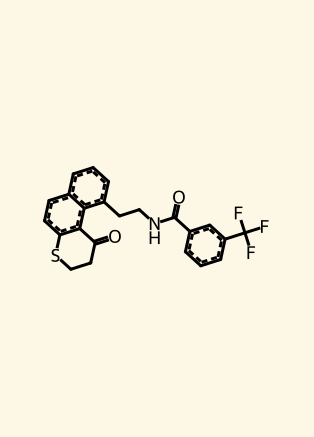 O=C(NCCc1cccc2ccc3c(c12)C(=O)CCS3)c1cccc(C(F)(F)F)c1